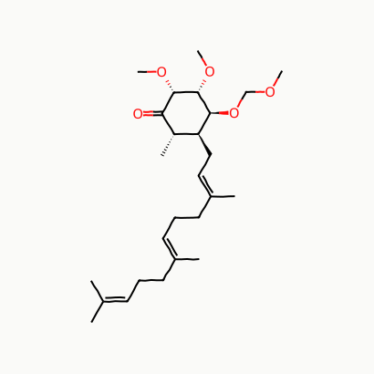 COCO[C@H]1[C@@H](C/C=C(\C)CC/C=C(\C)CCC=C(C)C)[C@H](C)C(=O)[C@H](OC)[C@@H]1OC